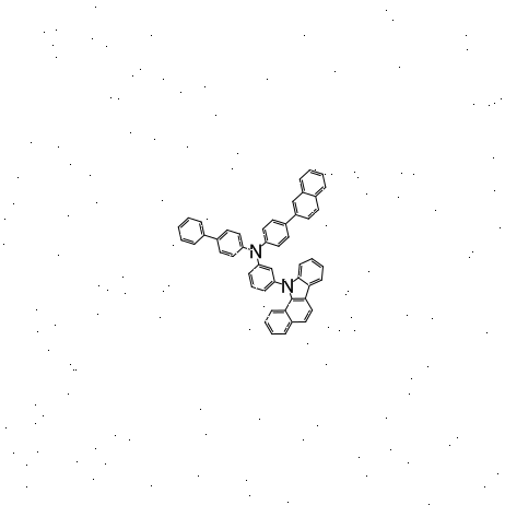 c1ccc(-c2ccc(N(c3ccc(-c4ccc5ccccc5c4)cc3)c3cccc(-n4c5ccccc5c5ccc6ccccc6c54)c3)cc2)cc1